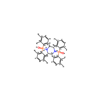 Cc1ccc(C)c(P(=O)(c2c(C)ccc(C)c2C)N2CCN(P(=O)(c3c(C)ccc(C)c3C)c3c(C)ccc(C)c3C)CC2)c1C